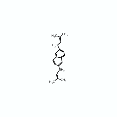 CC(C)=C[SiH2]c1ccc2cc([SiH2]C=C(C)C)ccc2c1